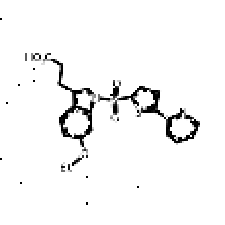 CCOc1ccc2c(CCC(=O)O)cn(S(=O)(=O)c3ccc(-c4ccccn4)s3)c2c1